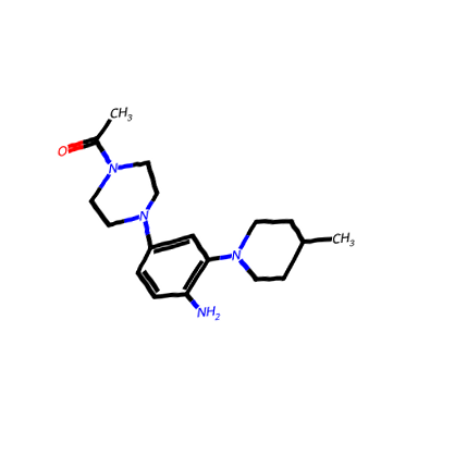 CC(=O)N1CCN(c2ccc(N)c(N3CCC(C)CC3)c2)CC1